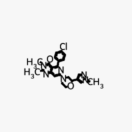 Cc1nc2cc(N3CCOC(c4cnn(C)c4)C3)nc(-c3ccc(Cl)cc3)c2c(=O)n1C